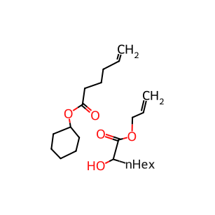 C=CCCCC(=O)OC1CCCCC1.C=CCOC(=O)C(O)CCCCCC